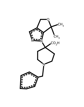 CC1(C)OCc2cnn(C3(C(=O)O)CCN(Cc4ccccc4)CC3)c21